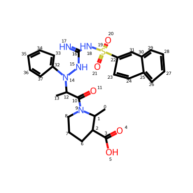 CC1C(C(=O)O)CCCN1C(=O)C(C)N(NC(=N)NS(=O)(=O)c1ccc2ccccc2c1)c1ccccc1